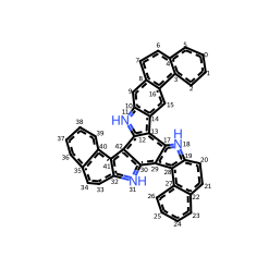 c1ccc2c(c1)ccc1cc3[nH]c4c(c3cc12)c1[nH]c2ccc3ccccc3c2c1c1[nH]c2ccc3ccccc3c2c41